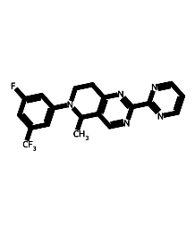 CC1c2cnc(-c3ncccn3)nc2CCN1c1cc(F)cc(C(F)(F)F)c1